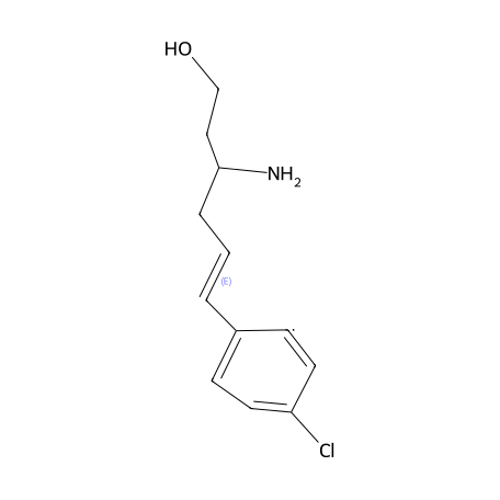 NC(C/C=C/c1[c]cc(Cl)cc1)CCO